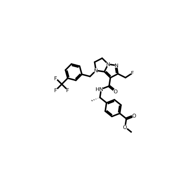 COC(=O)c1ccc([C@H](C)NC(=O)c2c(CF)nn3c2N(Cc2cccc(C(F)(F)F)c2)CC3)cc1